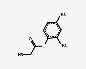 O=C(CS)Oc1ccc([N+](=O)[O-])cc1[N+](=O)[O-]